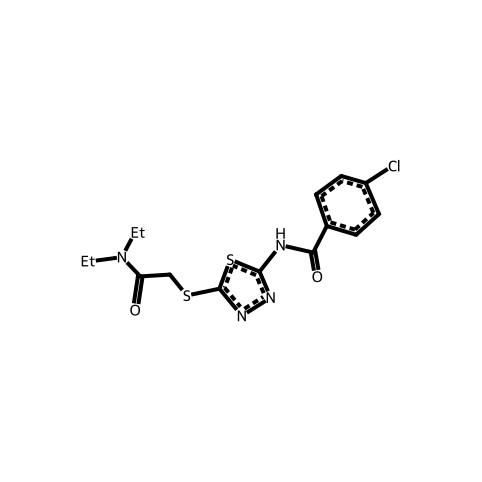 CCN(CC)C(=O)CSc1nnc(NC(=O)c2ccc(Cl)cc2)s1